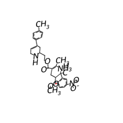 COC(=O)C1CC(C(=O)OCCC2CC(c3ccc(C)cc3)=CCN2)=C(C)NC1(C)c1cccc([N+](=O)[O-])c1